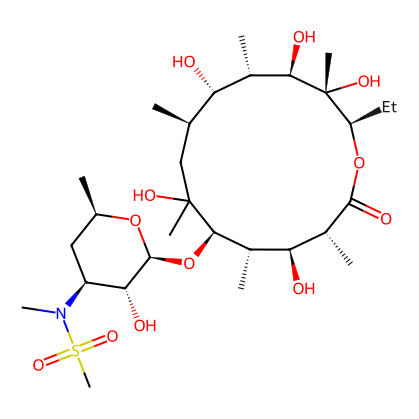 CC[C@H]1OC(=O)[C@H](C)[C@@H](O)[C@H](C)[C@@H](O[C@@H]2O[C@H](C)C[C@H](N(C)S(C)(=O)=O)[C@H]2O)C(C)(O)C[C@@H](C)[C@H](O)[C@H](C)[C@@H](O)[C@]1(C)O